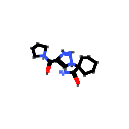 NC(=O)C1(n2cc(C(=O)N3CCCC3)nn2)CCCCC1